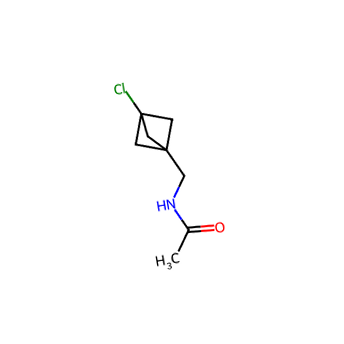 CC(=O)NCC12CC(Cl)(C1)C2